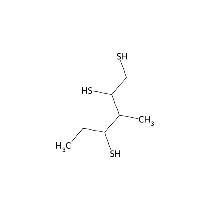 CCC(S)C(C)C(S)CS